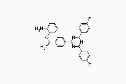 C=C(Oc1ccccc1N)c1ccc(-c2nc(-c3ccc(F)cc3)nc(-c3ccc(F)cc3)n2)cc1